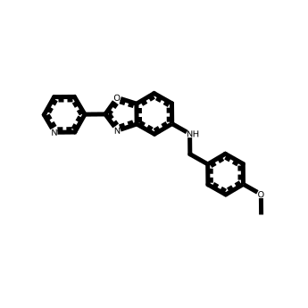 COc1ccc(CNc2ccc3oc(-c4cccnc4)nc3c2)cc1